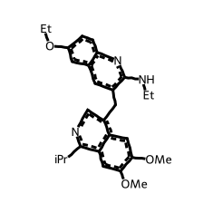 CCNc1nc2ccc(OCC)cc2cc1Cc1cnc(C(C)C)c2cc(OC)c(OC)cc12